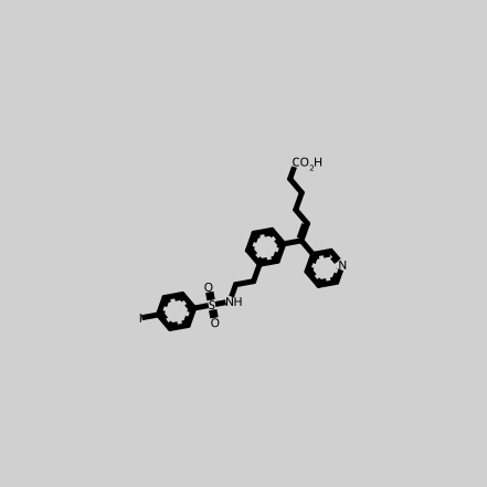 O=C(O)CCCC=C(c1cccnc1)c1cccc(CCNS(=O)(=O)c2ccc(I)cc2)c1